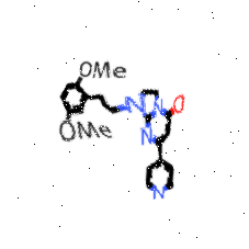 COc1ccc(OC)c(CCN2CCn3c2nc(-c2ccncc2)cc3=O)c1